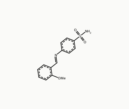 COc1ccccc1/C=N/c1ccc(S(N)(=O)=O)cc1